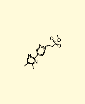 COS(=O)(=O)CC[n+]1ccc(-c2ncc(C)c(C)n2)cn1